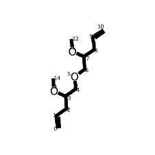 C=CCC(COCC(CC=C)OC)OC